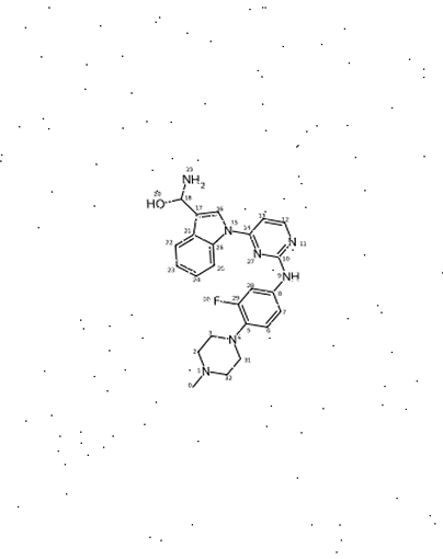 CN1CCN(c2ccc(Nc3nccc(-n4cc(C(N)O)c5ccccc54)n3)cc2F)CC1